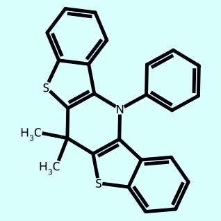 CC1(C)c2sc3ccccc3c2N(c2ccccc2)c2c1sc1ccccc21